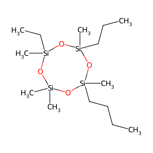 CCCC[Si]1(C)O[Si](C)(C)O[Si](C)(CC)O[Si](C)(CCC)O1